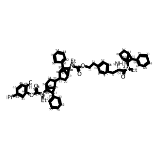 CCN(C(=O)[C@@H](N)Cc1ccc(CCOC(=O)N(CC)C2C3CC(C4CC5CC4C(c4ccccc4)C5N(CC)C(=O)Oc4cc(C(C)C)ccc4C)C(C3)C2c2ccccc2)cc1)C1C2CCC(C2)C1c1ccccc1